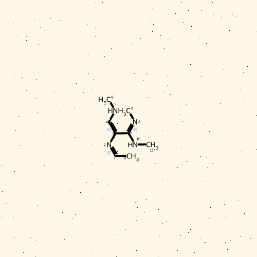 C\C=N/C(=C/NC)C(=N\C)/NC